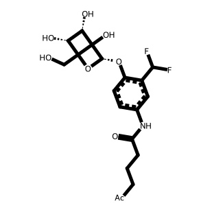 CC(=O)CCCC(=O)Nc1ccc(O[C@@H]2OC3(CO)[C@H](O)[C@H](O)C23O)c(C(F)F)c1